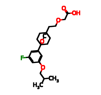 CC(C)COc1cc(F)cc(C23CCC(CCOCC(=O)O)(CC2)CO3)c1